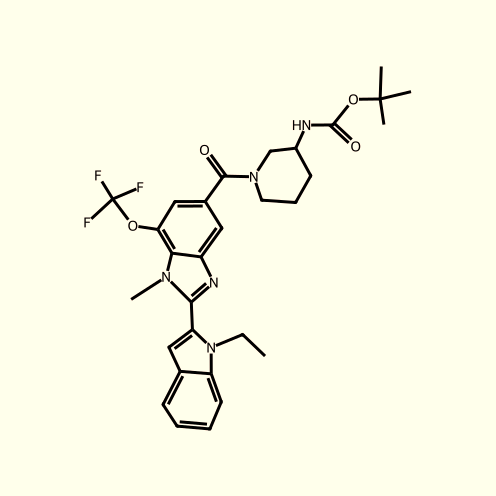 CCn1c(-c2nc3cc(C(=O)N4CCCC(NC(=O)OC(C)(C)C)C4)cc(OC(F)(F)F)c3n2C)cc2ccccc21